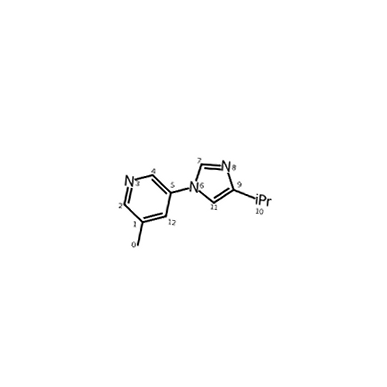 Cc1cncc(-n2cnc(C(C)C)c2)c1